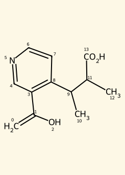 C=C(O)c1cnccc1C(C)C(C)C(=O)O